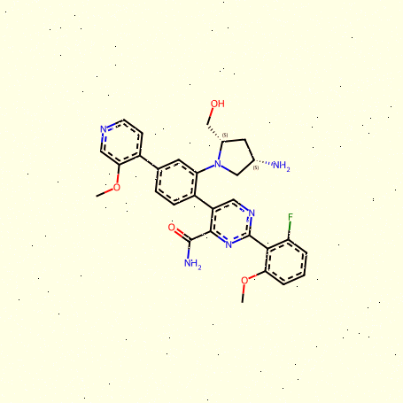 COc1cnccc1-c1ccc(-c2cnc(-c3c(F)cccc3OC)nc2C(N)=O)c(N2C[C@@H](N)C[C@H]2CO)c1